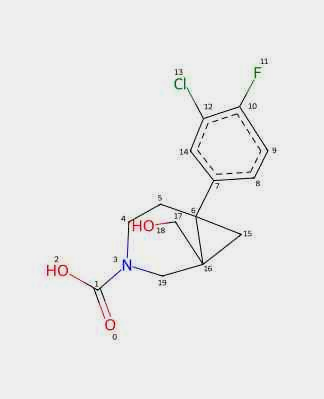 O=C(O)N1CCC2(c3ccc(F)c(Cl)c3)CC2(CO)C1